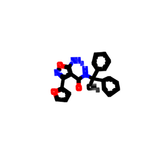 CC(NC(=O)c1c(-c2ccco2)noc1N)(c1ccccc1)c1ccccc1